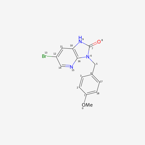 COc1ccc(Cn2c(=O)[nH]c3cc(Br)cnc32)cc1